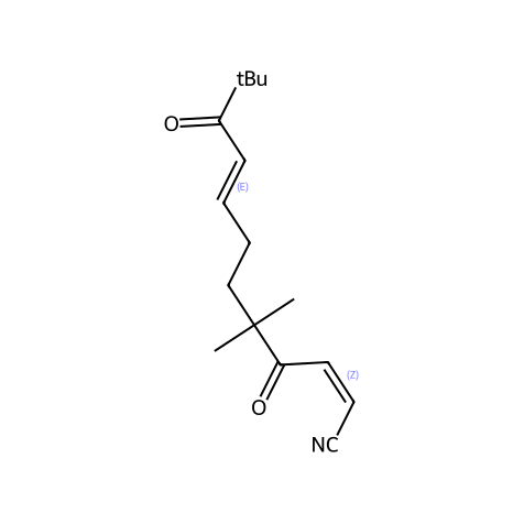 CC(C)(C)C(=O)/C=C/CCC(C)(C)C(=O)/C=C\C#N